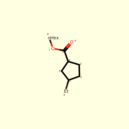 [CH2]CC1C[CH]C(C(=O)OCCCCCC)C1